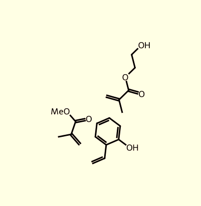 C=C(C)C(=O)OC.C=C(C)C(=O)OCCO.C=Cc1ccccc1O